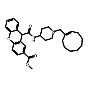 COC(=O)c1ccc2c(c1)C(C(=O)NC1CCN(C/C3=C/CCCCCCC3)CC1)c1ccccc1O2